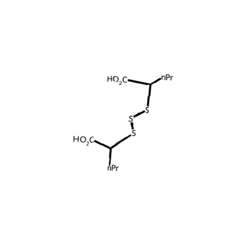 CCCC(SSSC(CCC)C(=O)O)C(=O)O